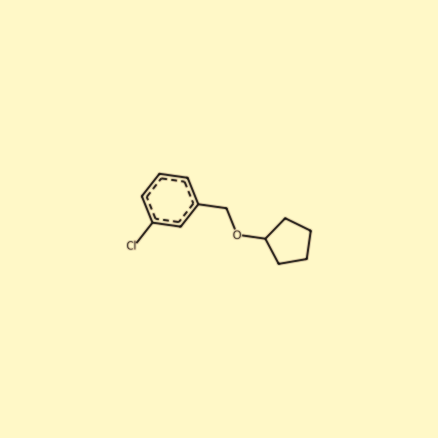 Clc1cccc(COC2CCCC2)c1